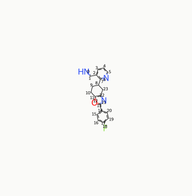 N=Cc1cccnc1C1CCc2oc(-c3ccc(F)cc3)nc2C1